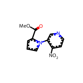 COC(=O)c1cccn1-c1cnccc1[N+](=O)[O-]